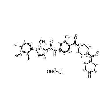 Cn1c(-c2ccc(F)c(C#N)c2F)cnc1C(=O)Nc1ccc(C(=O)N2CCN(C(=O)C3CCNCC3)CC2)c(Cl)c1.O=CO